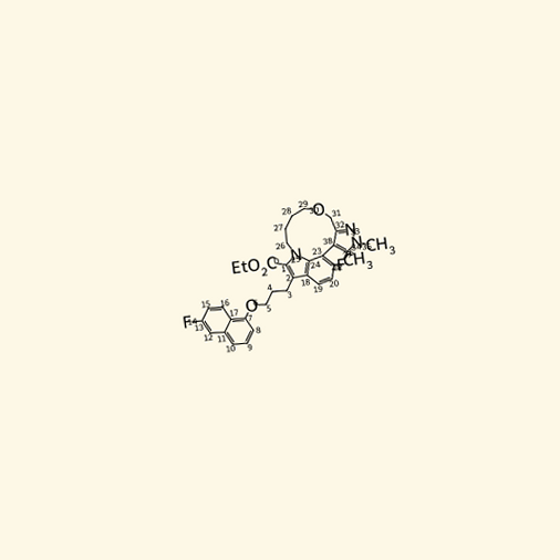 CCOC(=O)c1c(CCCOc2cccc3cc(F)ccc23)c2ccc(F)c3c2n1CCCCOCc1nn(C)c(C)c1-3